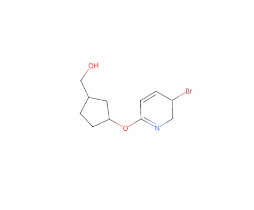 OCC1CCC(OC2=NCC(Br)C=C2)C1